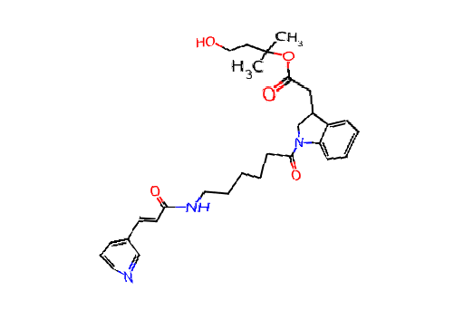 CC(C)(CCO)OC(=O)CC1CN(C(=O)CCCCCNC(=O)/C=C/c2cccnc2)c2ccccc21